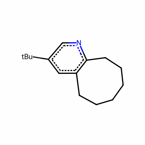 CC(C)(C)c1cnc2c(c1)CCCCCC2